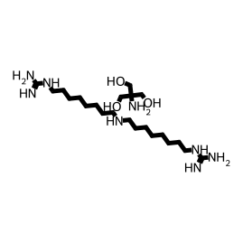 N=C(N)NCCCCCCCCNCCCCCCCCNC(=N)N.NC(CO)(CO)CO